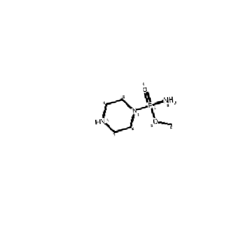 COP(N)(=O)N1CCNCC1